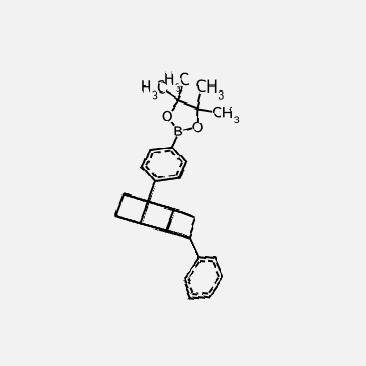 CC1(C)OB(c2ccc(C34C5C6C3C3C4C5C63c3ccccc3)cc2)OC1(C)C